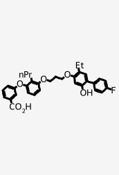 CCCc1c(OCCCOc2cc(O)c(-c3ccc(F)cc3)cc2CC)cccc1Oc1cccc(C(=O)O)c1